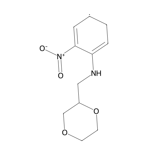 O=[N+]([O-])C1=C[CH]CC=C1NCC1COCCO1